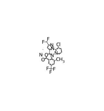 Cc1cc(C(F)(F)F)cc2c(=O)oc(-c3cc(C(F)F)nn3-c3ncccc3Cl)nc12.[N]